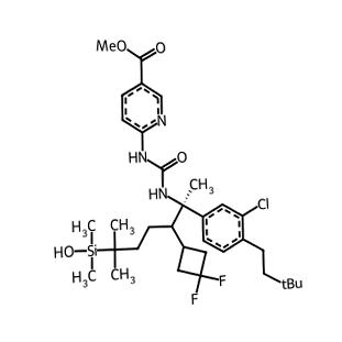 COC(=O)c1ccc(NC(=O)N[C@@](C)(c2ccc(CCC(C)(C)C)c(Cl)c2)C(CCC(C)(C)[Si](C)(C)O)C2CC(F)(F)C2)nc1